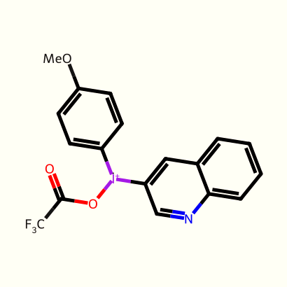 COc1ccc([I+](OC(=O)C(F)(F)F)c2cnc3ccccc3c2)cc1